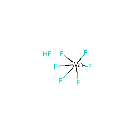 F.[F][Mn]([F])([F])([F])([F])[F]